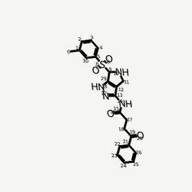 Cc1cccc(S(=O)(=O)C2NCc3c(NC(=O)CCC(=O)c4ccccc4)n[nH]c32)c1